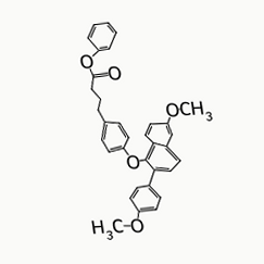 COc1ccc(-c2ccc3cc(OC)ccc3c2Oc2ccc(CCCC(=O)Oc3ccccc3)cc2)cc1